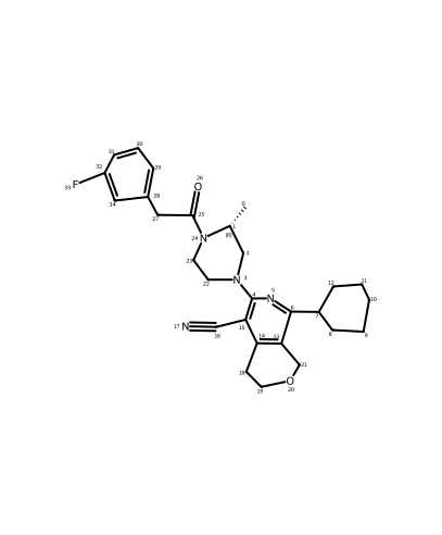 C[C@@H]1CN(c2nc(C3CCCCC3)c3c(c2C#N)CCOC3)CCN1C(=O)Cc1cccc(F)c1